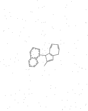 CC1=CC2=C(C=CC=CC2)C1c1cccc2ccccc12